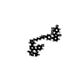 Cc1nnc2n1-c1ccc(-c3cnn(CCCCCCNC4CCN(c5cccc6c5C(=O)N(C5CCC(=O)NC5=O)C6=O)CC4)c3)cc1C(c1ccc(Cl)cc1)=NC21CC1